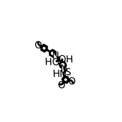 COc1ccc(C2CCN(CC(O)C3(O)CCN(C(=S)Nc4cc(OC)cc(OC)c4)CC3)CC2)cc1